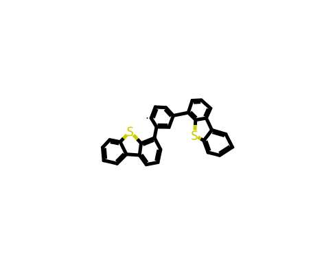 [c]1ccc(-c2cccc3c2sc2ccccc23)cc1-c1cccc2c1sc1ccccc12